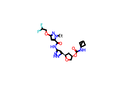 CCn1nc(OCC(F)F)cc1C(=O)Nc1cc([C@H]2C[C@@H](OC(=O)NC34CC(C3)C4)CO2)[nH]n1